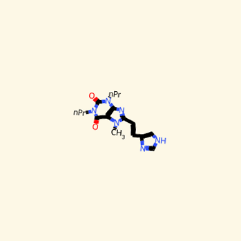 CCCn1c(=O)c2c(nc(/C=C/c3c[nH]cn3)n2C)n(CCC)c1=O